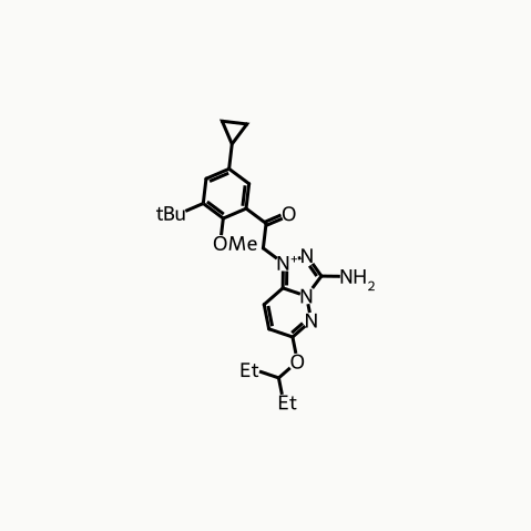 CCC(CC)Oc1ccc2n(n1)c(N)n[n+]2CC(=O)c1cc(C2CC2)cc(C(C)(C)C)c1OC